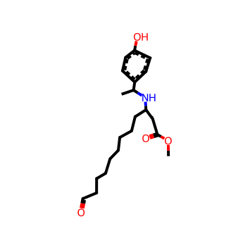 COC(=O)[CH]C(CCCCCCCCC=O)NC(C)c1ccc(O)cc1